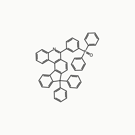 O=P(c1ccccc1)(c1ccccc1)c1cccc(-c2nc3ccccc3c3c4c(ccc23)C(c2ccccc2)(c2ccccc2)c2ccccc2-4)c1